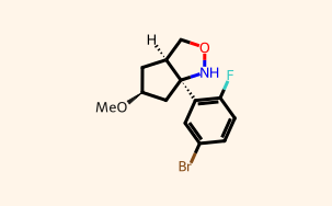 CO[C@H]1C[C@H]2CON[C@@]2(c2cc(Br)ccc2F)C1